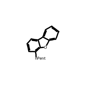 CCCCCc1cccc2c1oc1ccccc12